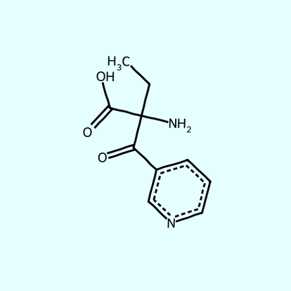 CCC(N)(C(=O)O)C(=O)c1cccnc1